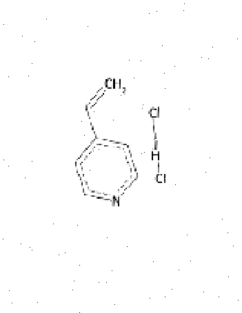 C=Cc1ccncc1.Cl[IH]Cl